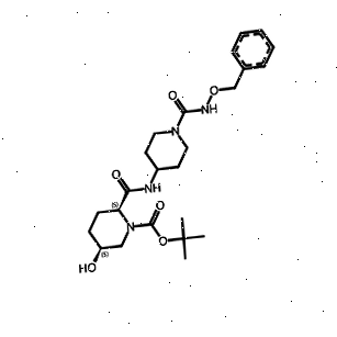 CC(C)(C)OC(=O)N1C[C@@H](O)CC[C@H]1C(=O)NC1CCN(C(=O)NOCc2ccccc2)CC1